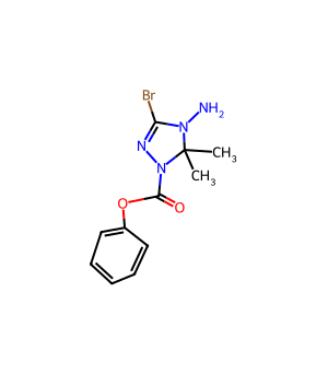 CC1(C)N(N)C(Br)=NN1C(=O)Oc1ccccc1